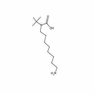 CC(C)(C)N(CCCCCCCCN)C(=O)O